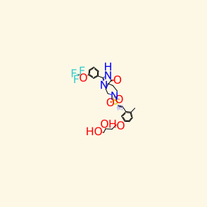 Cc1ccc(OCCC(O)CO)cc1/C=C/S(=O)(=O)N1CCC2(CC1)N=C(c1cccc(OC(F)(F)F)c1)NC2=O